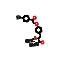 CCc1ccc(C(=O)COc2ccc(CC(SC=O)C(=O)NC)cc2)cc1